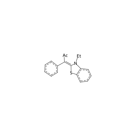 CCN1C(=C(C(C)=O)c2ccccc2)Sc2ccccc21